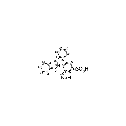 Cc1cc(S(=O)(=O)O)ccc1N(Cc1ccccc1)Cc1ccccc1.[NaH]